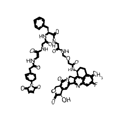 Cc1c(F)cc2nc3c(c4c2c1CC[C@@H]4NC(=O)COCNC(=O)CNC(=O)[C@H](Cc1ccccc1)NC(=O)CNC(=O)CNC(=O)Cc1ccc(N2C(=O)C=CC2=O)cc1)Cn1c-3cc2c(c1=O)COC(=O)[C@H]2O